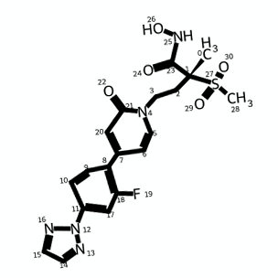 C[C@@](CCn1ccc(-c2ccc(-n3nccn3)cc2F)cc1=O)(C(=O)NO)S(C)(=O)=O